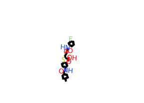 Cc1ccc(C(=O)Nc2ccc(SC(CCOC(=O)Nc3cccc(F)c3)C(=O)O)cc2)cc1